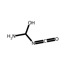 NC(O)N=C=O